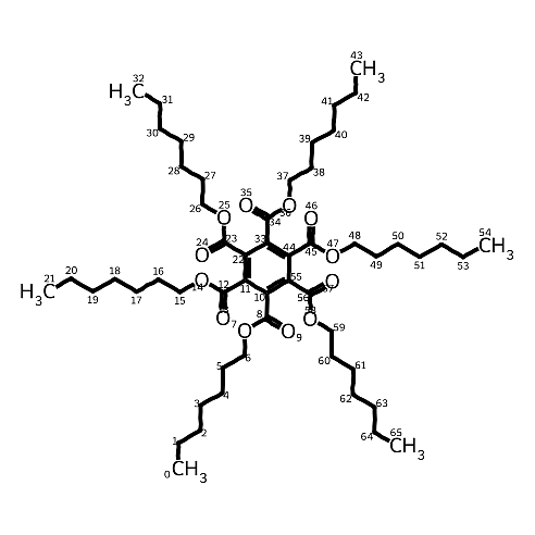 CCCCCCCOC(=O)c1c(C(=O)OCCCCCCC)c(C(=O)OCCCCCCC)c(C(=O)OCCCCCCC)c(C(=O)OCCCCCCC)c1C(=O)OCCCCCCC